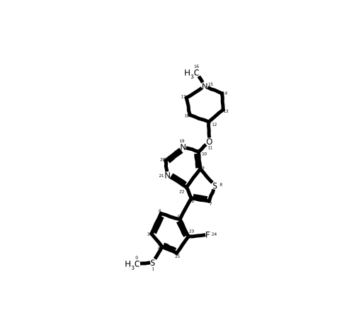 CSc1ccc(-c2csc3c(OC4CCN(C)CC4)ncnc23)c(F)c1